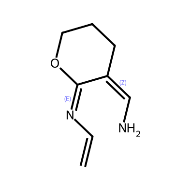 C=C/N=C1/OCCC/C1=C/N